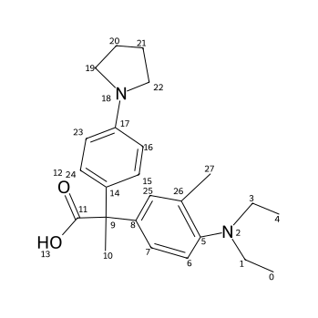 CCN(CC)c1ccc(C(C)(C(=O)O)c2ccc(N3CCCC3)cc2)cc1C